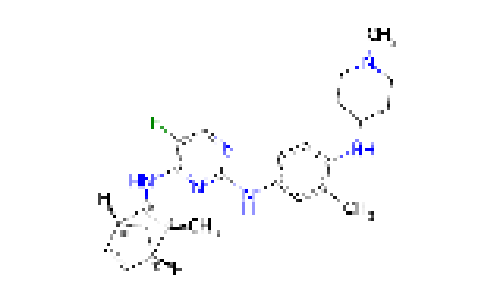 Cc1cc(Nc2ncc(F)c(N[C@H]3[C@@H](C)[C@@H]4C=C[C@H]3C4)n2)ccc1NC1CCN(C)CC1